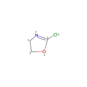 ClC1=NC[CH]O1